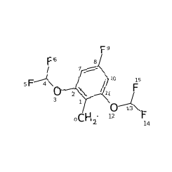 [CH2]c1c(OC(F)F)cc(F)cc1OC(F)F